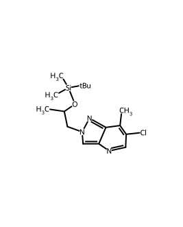 Cc1c(Cl)cnc2cn(CC(C)O[Si](C)(C)C(C)(C)C)nc12